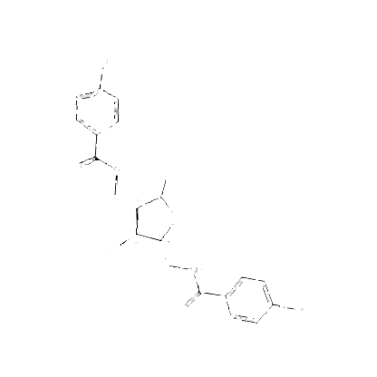 O=C(NC[C@@H]1C(O)O[C@H](CNC(=O)c2ccc(O)cc2)[C@H]1O)c1ccc(O)cc1